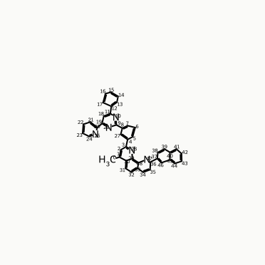 Cc1cc(-c2cccc(-c3nc(-c4ccccc4)cc(-c4ccccn4)n3)c2)nc2c1ccc1ccc(-c3ccc4ccccc4c3)nc12